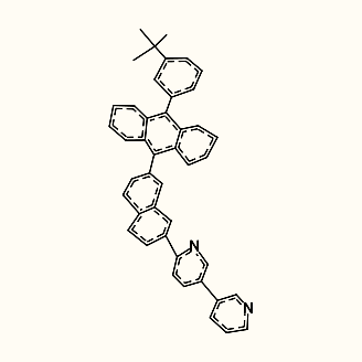 CC(C)(C)c1cccc(-c2c3ccccc3c(-c3ccc4ccc(-c5ccc(-c6cccnc6)cn5)cc4c3)c3ccccc23)c1